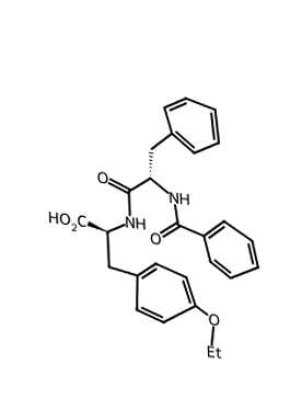 CCOc1ccc(C[C@H](NC(=O)[C@H](Cc2ccccc2)NC(=O)c2ccccc2)C(=O)O)cc1